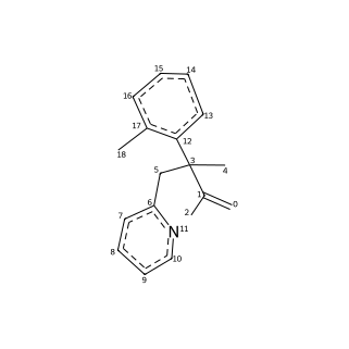 C=C(C)C(C)(Cc1ccccn1)c1ccccc1C